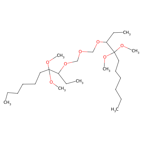 CCCCCCC(OC)(OC)C(CC)OCOCOC(CC)C(CCCCCC)(OC)OC